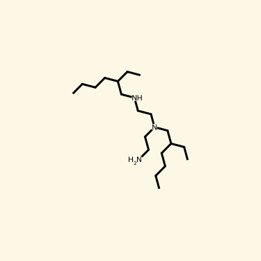 CCCCC(CC)CNCCN(CCN)CC(CC)CCCC